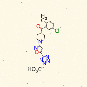 Cc1ccc(Cl)cc1C(=O)C1CCN(c2cc(-c3nnn(CC(=O)O)n3)on2)CC1